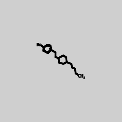 CCCCCC1CCC(CCc2ccc(Br)cc2)CC1